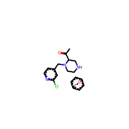 CC(=O)C1CNCCN1Cc1ccnc(Cl)c1.c1cc2ccc1CO2